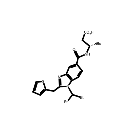 CCC(C)[C@@H](CC(=O)O)NC(=O)c1ccc2c(c1)nc(Cc1cccs1)n2C(CC)CC